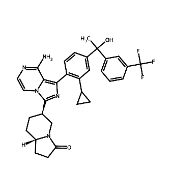 CC(O)(c1cccc(C(F)(F)F)c1)c1ccc(-c2nc([C@@H]3CC[C@H]4CCC(=O)N4C3)n3ccnc(N)c23)c(C2CC2)c1